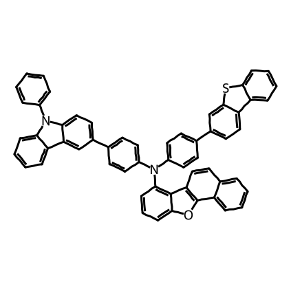 c1ccc(-n2c3ccccc3c3cc(-c4ccc(N(c5ccc(-c6ccc7c(c6)sc6ccccc67)cc5)c5cccc6oc7c8ccccc8ccc7c56)cc4)ccc32)cc1